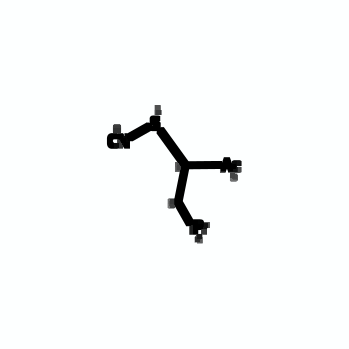 [C-]#[N+]SC(CC(C)C)C(C)=O